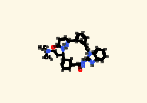 CN(C)CCC1c2cccc(c2)C(=O)Nc2nc3ccccc3n2Cc2cccc(c2)-c2ccc(=O)n1n2